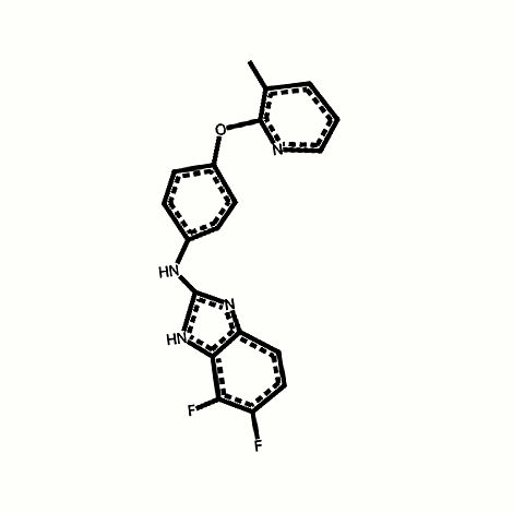 Cc1cccnc1Oc1ccc(Nc2nc3ccc(F)c(F)c3[nH]2)cc1